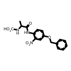 CC(NC(=O)O)C(=O)Nc1ccc(OCc2ccccc2)cc1[N+](=O)[O-]